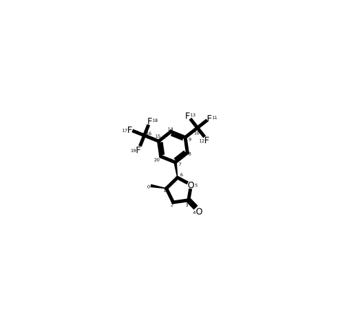 C[C@@H]1CC(=O)O[C@@H]1c1cc(C(F)(F)F)cc(C(F)(F)F)c1